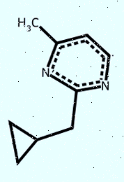 Cc1c[c]nc(CC2CC2)n1